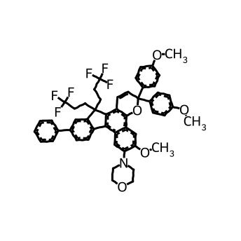 COc1ccc(C2(c3ccc(OC)cc3)C=Cc3c4c(c5cc(N6CCOCC6)c(OC)cc5c3O2)-c2ccc(-c3ccccc3)cc2C4(CCC(F)(F)F)CCC(F)(F)F)cc1